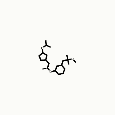 COC(C)(C)CC1CCCC(O[C@@H](C)CC2CCC(OC(C)C)C2)C1